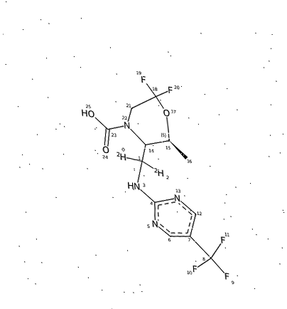 [2H]C([2H])(Nc1ncc(C(F)(F)F)cn1)C1[C@H](C)OC(F)(F)CN1C(=O)O